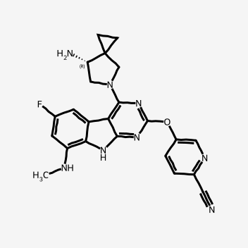 CNc1cc(F)cc2c1[nH]c1nc(Oc3ccc(C#N)nc3)nc(N3C[C@H](N)C4(CC4)C3)c12